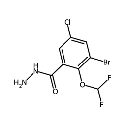 NNC(=O)c1cc(Cl)cc(Br)c1OC(F)F